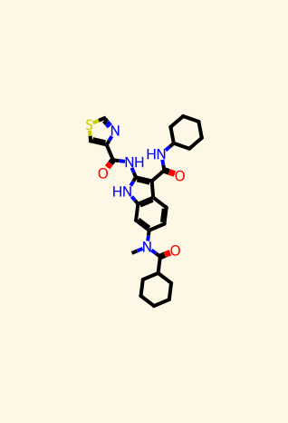 CN(C(=O)C1CCCCC1)c1ccc2c(C(=O)NC3CCCCC3)c(NC(=O)c3cscn3)[nH]c2c1